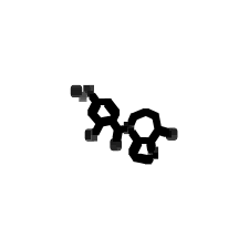 O=C1CCCN(C(=O)c2ccc([N+](=O)[O-])cc2Cl)c2cccnc21